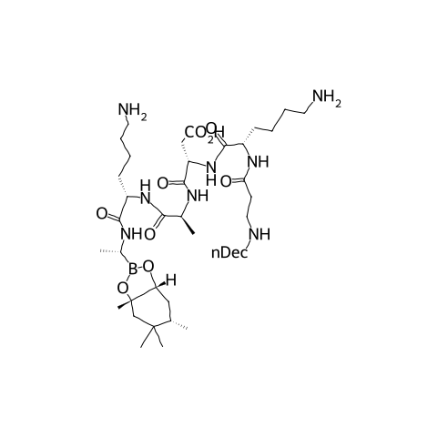 CCCCCCCCCCNCCC(=O)N[C@@H](CCCCN)C(=O)N[C@@H](CC(=O)O)C(=O)N[C@@H](C)C(=O)N[C@@H](CCCCN)C(=O)N[C@@H](C)B1O[C@@H]2C[C@H](C)C(C)(C)C[C@]2(C)O1